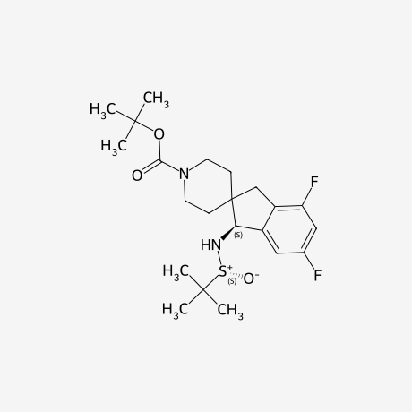 CC(C)(C)OC(=O)N1CCC2(CC1)Cc1c(F)cc(F)cc1[C@H]2N[S@+]([O-])C(C)(C)C